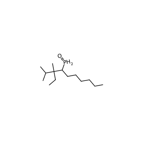 CCCCCCC([PH2]=O)C(C)(CC)C(C)C